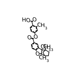 Cc1cc(OC(=O)c2ccc3c(c2)C2(C)C4(C)CCC(C4)C2(C)O3)ccc1C(=O)O